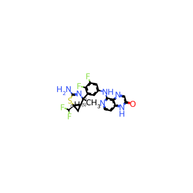 C[C@]1(c2cc(Nc3nccc4[nH]c(=O)cnc34)cc(F)c2F)N=C(N)S[C@@]2(C(F)F)C[C@@H]12